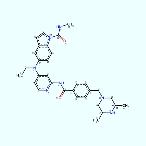 CCN(c1ccnc(NC(=O)c2ccc(CN3CC(C)N[C@H](C)C3)cc2)c1)c1ccc2c(ccn2C(=O)NC)c1